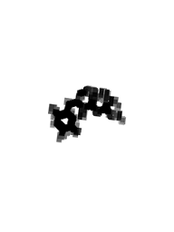 C=C(C)OC(=O)N[C@@H](CC(=O)OCC)Cc1cc(F)c(F)cc1F